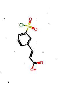 O=C(O)C=Cc1cccc(S(=O)(=O)Cl)c1